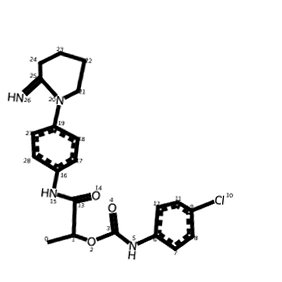 CC(OC(=O)Nc1ccc(Cl)cc1)C(=O)Nc1ccc(N2CCCCC2=N)cc1